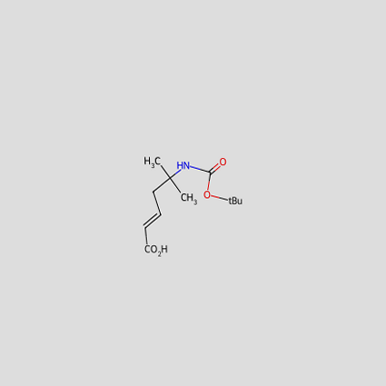 CC(C)(CC=CC(=O)O)NC(=O)OC(C)(C)C